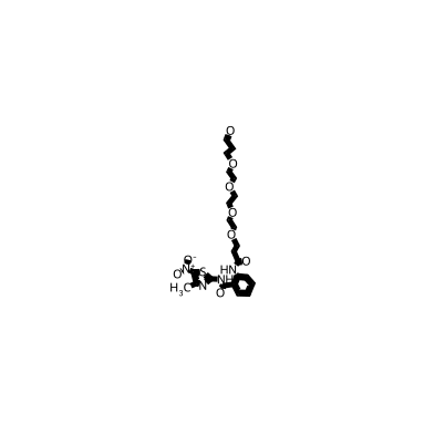 Cc1nc(NC(=O)c2ccccc2NC(=O)CCOCCOCCOCCOCCC=O)sc1[N+](=O)[O-]